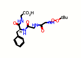 CC(C)(C)OONCC(=O)NCC(=O)N[C@@H](Cc1ccccc1)C(=O)NCC(=O)O